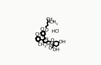 Cc1ccc(C)c(-c2ccc(C(=O)NC3(C(=O)O)CCC(O)CC3)nc2-c2ccc(Cl)c(OCCCN(C)C)c2)c1.Cl